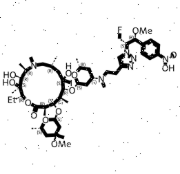 CC[C@H]1OC(=O)[C@H](C)[C@@H](O[C@H]2C[C@@](C)(OC)C[C@H](C)O2)[C@H](C)[C@@H](O[C@H]2C[C@@H](N(C)CCc3cn([C@H](CF)[C@H](OC)c4ccc([N+](=O)O)cc4)nn3)C[C@@H](C)O2)[C@@](O)(I)C[C@@H](C)CN(C)[C@H](C)[C@@H](O)[C@]1(C)O